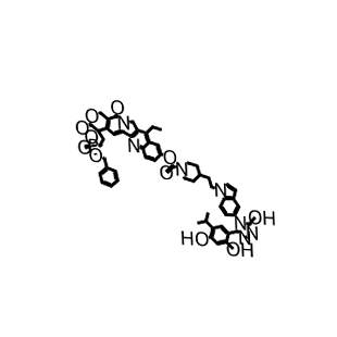 CCc1c2c(nc3ccc(OC(=O)N4CCC(CCn5ccc6cc(-n7c(O)nnc7-c7cc(C(C)C)c(O)cc7O)ccc65)CC4)cc13)-c1cc3c(c(=O)n1C2)COC(=O)C3(CC)OP(C)(=O)OCc1ccccc1